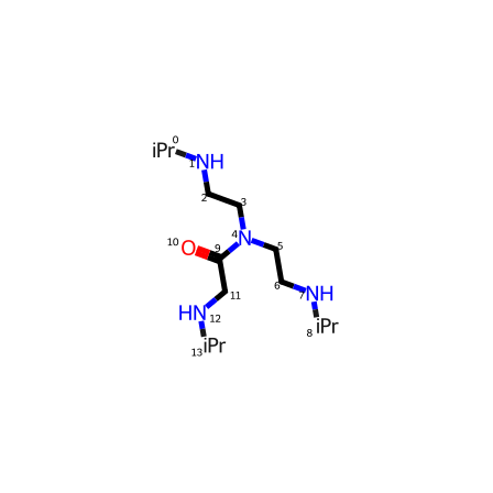 CC(C)NCCN(CCNC(C)C)C(=O)CNC(C)C